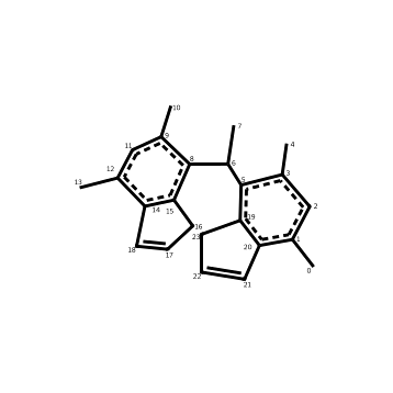 Cc1cc(C)c(C(C)c2c(C)cc(C)c3c2CC=C3)c2c1C=CC2